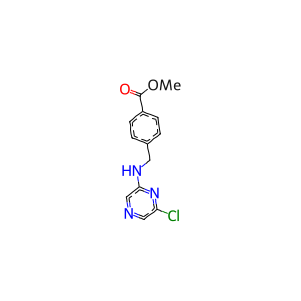 COC(=O)c1ccc(CNc2cncc(Cl)n2)cc1